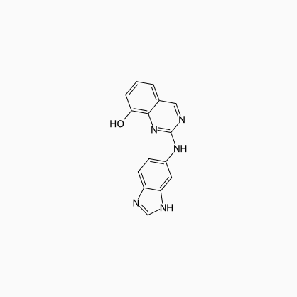 Oc1cccc2cnc(Nc3ccc4nc[nH]c4c3)nc12